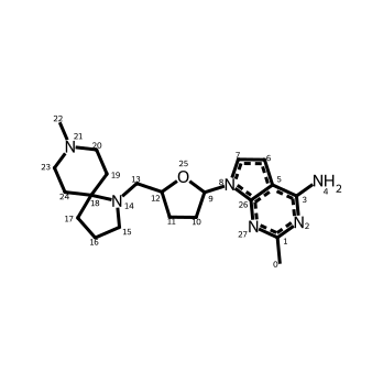 Cc1nc(N)c2ccn(C3CCC(CN4CCCC45CCN(C)CC5)O3)c2n1